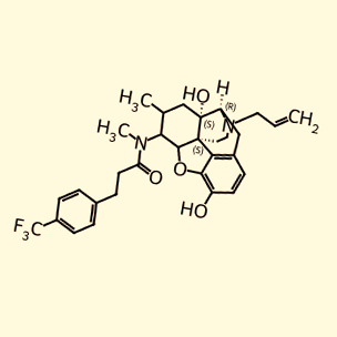 C=CCN1CC[C@]23c4c5ccc(O)c4OC2C(N(C)C(=O)CCc2ccc(C(F)(F)F)cc2)C(C)C[C@@]3(O)[C@H]1C5